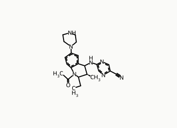 CCC1[C@H](C)C(Nc2cnc(C#N)cn2)c2cc(N3CCNCC3)ccc2N1C(C)=O